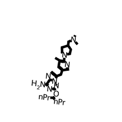 CCCC(CCC)Oc1nc(N)c2ncc(Cc3cnc(N4CCC(CN(C)C)CC4)c(C)c3)n2n1